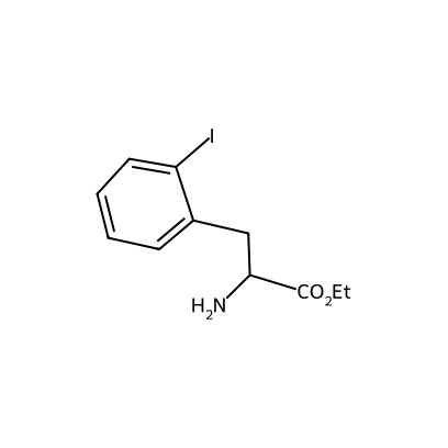 CCOC(=O)C(N)Cc1ccccc1I